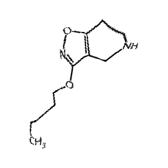 CCCCOc1noc2c1CNCC2